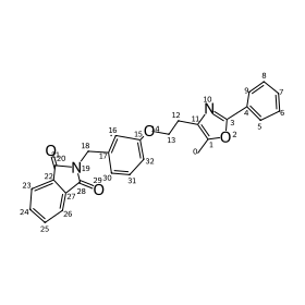 Cc1oc(-c2ccccc2)nc1CCOc1[c]c(CN2C(=O)c3ccccc3C2=O)ccc1